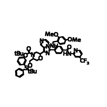 COc1ccc(CN[N+]23C=CN=CC2=C(C2CN(C(=O)OC(C)(C)C)C(CO[Si](c4ccccc4)(c4ccccc4)C(C)(C)C)CO2)N=C3c2ccc(C(=O)Nc3cc(C(F)(F)F)ccn3)cc2)c(OC)c1